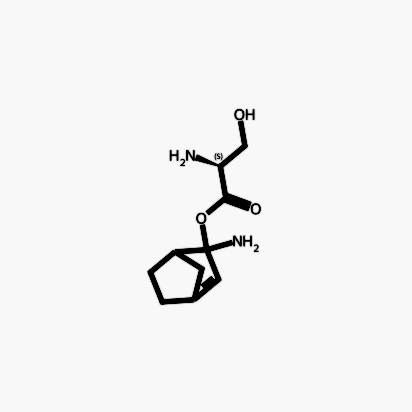 N[C@@H](CO)C(=O)OC1(N)C=C2CCC1C2